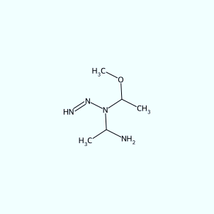 COC(C)N(N=N)C(C)N